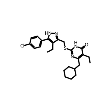 CCc1c(CSc2nc(CC3CCCCC3)c(CC)c(=O)[nH]2)n[nH]c1-c1ccc(Cl)cc1